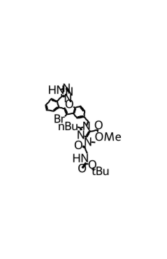 CCCCc1nc(N(C)C(=O)CNC(=O)OC(C)(C)C)c(C(=O)OC)n1Cc1ccc2oc(-c3ccccc3-c3nnn[nH]3)c(Br)c2c1